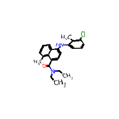 CCN(CC)C(=O)c1ccc(Nc2cccc(Cl)c2C)c2cccc(C)c12